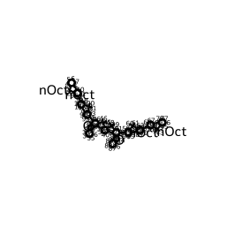 CCCCCCCCC1(CCCCCCCC)c2ccccc2-c2ccc(-c3ccc4c(c3)C(C)(C)c3cc(-c5cc6c(c7c5oc5ccccc57)-c5ccc7c(c5C6(C)C)C(C)(C)c5cc(-c6ccc8c(c6)C(C)(C)c6cc(-c9ccc%10c(c9)C(CCCCCCCC)(CCCCCCCC)c9ccccc9-%10)ccc6-8)c6oc8ccccc8c6c5-7)ccc3-4)cc21